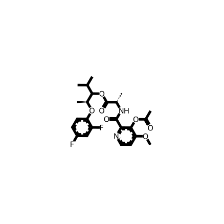 COc1ccnc(C(=O)N[C@@H](C)C(=O)OC(C(C)C)[C@H](C)Oc2ccc(F)cc2F)c1OC(C)=O